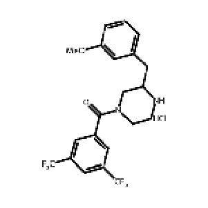 COc1cccc(CC2CN(C(=O)c3cc(C(F)(F)F)cc(C(F)(F)F)c3)CCN2)c1.Cl